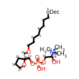 CCCCCCCCCCCCCCCCCCOC[C@@]1(COP(=O)(O)OCC(O)[N+](C)(C)C)CCCO1